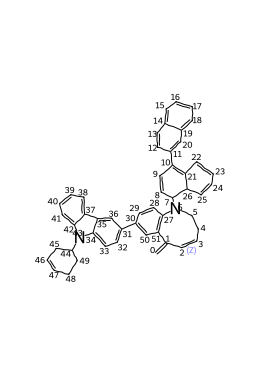 C=C1/C=C\CCN(C2C=CC(c3ccc4ccccc4c3)=C3C=CC=CC32)c2ccc(-c3ccc4c(c3)c3ccccc3n4C3CC=CCC3)cc21